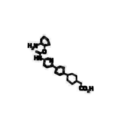 C=C(Nc1ccc(-c2ccc(C3CCC(CC(=O)O)CC3)cc2)nc1)Oc1ccccc1N